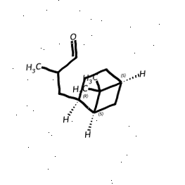 CC(C=O)C[C@H]1CC[C@H]2C[C@@H]1C2(C)C